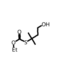 CCOC(=O)SC(C)(C)CCO